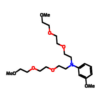 COCCOCCOCCN(CCOCCOCCOC)c1cccc(OC)c1